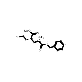 COC(=O)[C@@H](CCC#N)C[C@H](N)C(=O)OCc1ccccc1